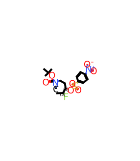 CC(C)(C)OC(=O)N1CC[C@H](F)[C@H](OS(=O)(=O)c2ccc([N+](=O)[O-])cc2)CC1